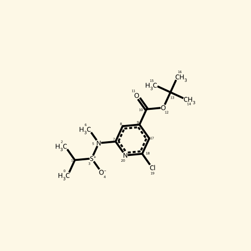 CC(C)[S+]([O-])N(C)c1cc(C(=O)OC(C)(C)C)cc(Cl)n1